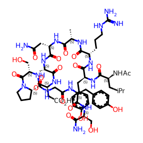 CC(=O)N[C@@H](CC(C)C)C(=O)N[C@@H](Cc1ccc(O)cc1)C(=O)N[C@@H](CCCNC(=N)N)C(=O)N[C@@H](C)C(=O)N[C@@H](CC(N)=O)C(=O)N[C@@H](C)C(=O)N[C@@H](CC(=O)O)C(=O)N[C@@H](CO)C(=O)N1CCC[C@H]1C(=O)NCC(=O)N[C@@H](Cc1ccc(O)cc1)C(=O)N[C@@H](CO)C(N)=O